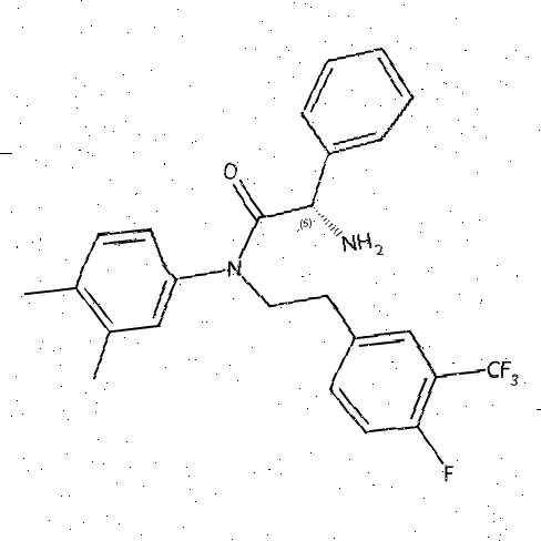 Cc1ccc(N(CCc2ccc(F)c(C(F)(F)F)c2)C(=O)[C@@H](N)c2ccccc2)cc1C